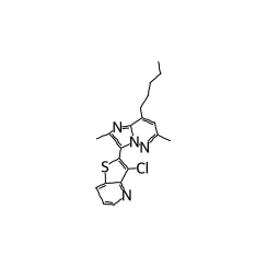 CCCCCc1cc(C)nn2c(-c3sc4cccnc4c3Cl)c(C)nc12